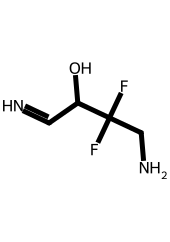 N=CC(O)C(F)(F)CN